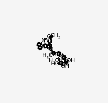 C=CC(=O)N1CCN(c2nc(OC[C@@H]3C[C@H](N4CCN(Cc5ccc(-n6c(O)nnc6-c6cc(C(C)C)c(O)cc6O)cc5)CC4)CN3C)nc3c2CCN(c2cccc4cccc(Cl)c24)C3)C[C@@H]1CC#N